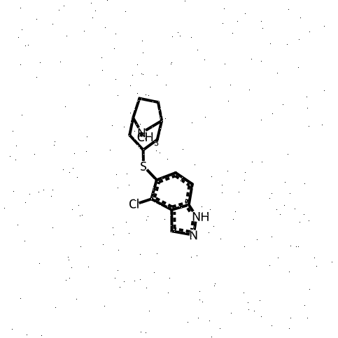 CN1C2CCC1CC(Sc1ccc3[nH]ncc3c1Cl)C2